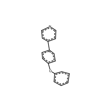 c1ccc(Oc2ccc(-c3ccncc3)cc2)cc1